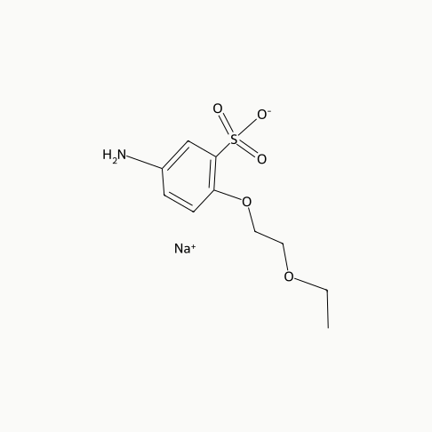 CCOCCOc1ccc(N)cc1S(=O)(=O)[O-].[Na+]